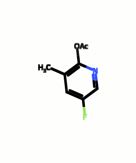 CC(=O)Oc1ncc(F)cc1C